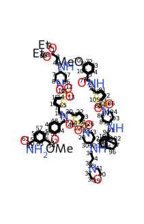 CCOC(CCNC1CCN(OS(=O)(=O)c2ccc(CN(Cc3ccc(S(=O)(=O)N4CCC(NCCCN5CCOCC5)CC4)s3)C(=O)c3cccc(OC(OC)c4cccc(C(N)=O)c4)c3)s2)CC1)OCC.COc1cccc(C(=O)NCc2ccc(S(=O)(=O)N3CCC(NCC45CC6CC(CC(C6)C4)C5)CC3)s2)c1